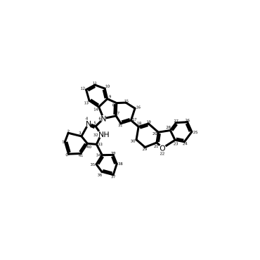 C1=CCC2N=C(n3c4c(c5ccccc53)CCC(C3=Cc5c(oc6ccccc56)CC3)=C4)NC(c3ccccc3)C2=C1